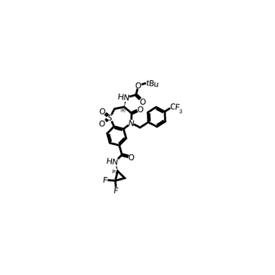 CC(C)(C)OC(=O)N[C@H]1CS(=O)(=O)c2ccc(C(=O)N[C@@H]3CC3(F)F)cc2N(Cc2ccc(C(F)(F)F)cc2)C1=O